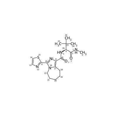 CNC(=O)[C@@H](NC(=O)c1nc(-c2nccs2)n2c1CCCCC2)C(C)(C)C